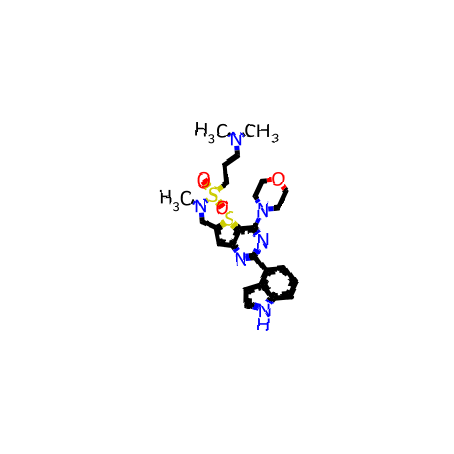 CN(C)CCCS(=O)(=O)N(C)Cc1cc2nc(-c3cccc4[nH]ccc34)nc(N3CCOCC3)c2s1